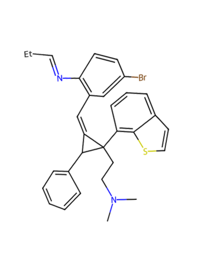 CC/C=N/c1ccc(Br)cc1/C=C1/C(c2ccccc2)C1(CCN(C)C)c1cccc2ccsc12